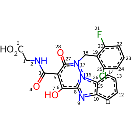 O=C(O)CNC(=O)c1c(O)c2nc3ccccc3n2n(Cc2c(F)cccc2Cl)c1=O